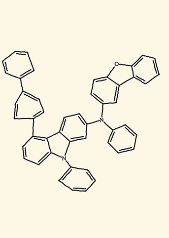 c1ccc(-c2ccc(-c3cccc4c3c3ccc(N(c5ccccc5)c5ccc6oc7ccccc7c6c5)cc3n4-c3ccccc3)cc2)cc1